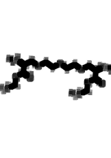 C=C(COCCOCCOCC(=C)C(=O)OCC)C(=O)OCC